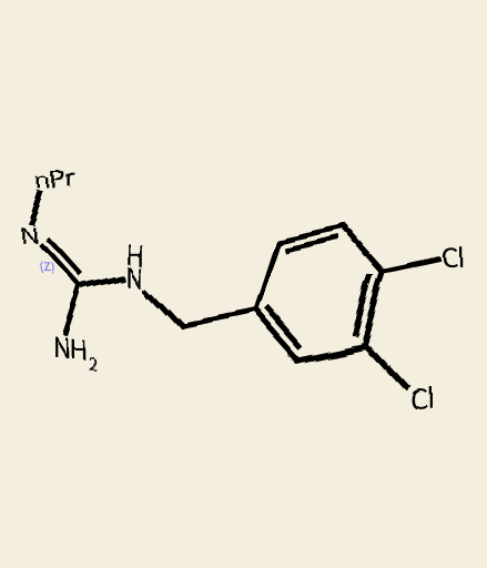 CCC/N=C(/N)NCc1ccc(Cl)c(Cl)c1